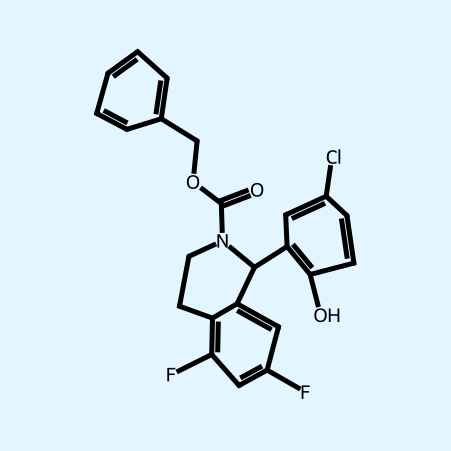 O=C(OCc1ccccc1)N1CCc2c(F)cc(F)cc2C1c1cc(Cl)ccc1O